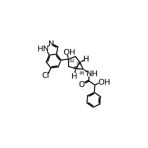 O=C(N[C@H]1[C@@H]2C[C@](O)(c3cc(Cl)cc4[nH]ncc34)C[C@@H]21)C(O)c1ccccc1